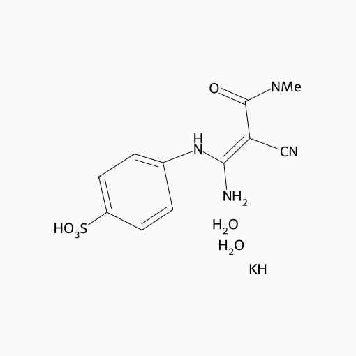 CNC(=O)C(C#N)=C(N)Nc1ccc(S(=O)(=O)O)cc1.O.O.[KH]